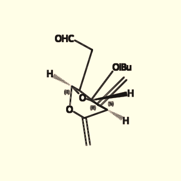 C=C1O[C@@H]2O[C@@H](OCC(C)C)[C@H]1C(=C)C2CC=O